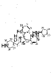 OC1(Cc2nc(-c3ccccc3F)c(-c3ccnc(NC4CCCC4)n3)s2)CCNCC1